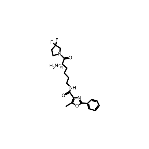 Cc1oc(-c2ccccc2)nc1C(=O)NCCCC[C@H](N)C(=O)N1CCC(F)(F)C1